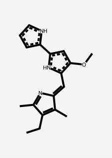 CCC1=C(C)/C(=C/c2[nH]c(-c3ccc[nH]3)cc2OC)N=C1C